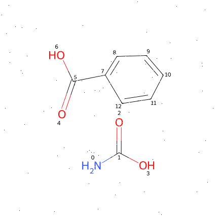 NC(=O)O.O=C(O)c1ccccc1